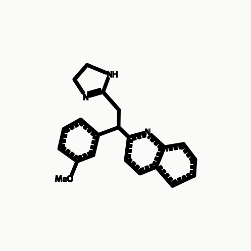 COc1cccc(C(CC2=NCCN2)c2ccc3ccccc3n2)c1